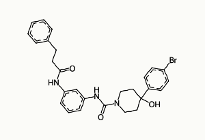 O=C(CCc1ccccc1)Nc1cccc(NC(=O)N2CCC(O)(c3ccc(Br)cc3)CC2)c1